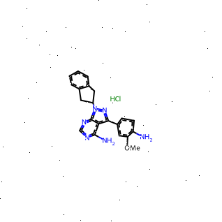 COc1cc(-c2nn(C3Cc4ccccc4C3)c3ncnc(N)c23)ccc1N.Cl